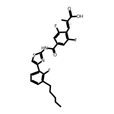 CCCCCc1cccc(-c2csc(NC(=O)c3cc(F)c(/C=C(\C)C(=O)O)c(F)c3)n2)c1F